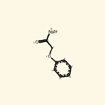 CNC(=O)COc1[c]cccc1